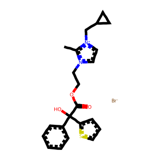 Cc1n(CCOC(=O)C(O)(c2ccccc2)c2cccs2)cc[n+]1CC1CC1.[Br-]